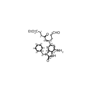 CCOC(=O)CCC(=O)N=S(CCC=O)c1nc(N)c2[nH]c(=O)n(Cc3ccccc3)c2n1